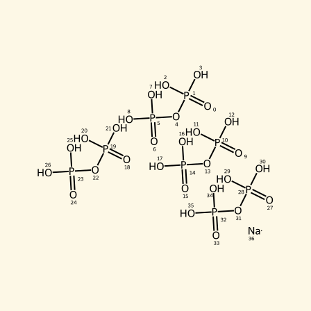 O=P(O)(O)OP(=O)(O)O.O=P(O)(O)OP(=O)(O)O.O=P(O)(O)OP(=O)(O)O.O=P(O)(O)OP(=O)(O)O.[Na]